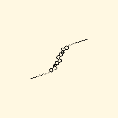 CCCCCCCCCCCCc1ccc(-c2cc3cc4c(ccc5c6cc7cc(-c8ccc(CCCCCCCCCCCC)cc8)sc7cc6ccc45)cc3s2)cc1